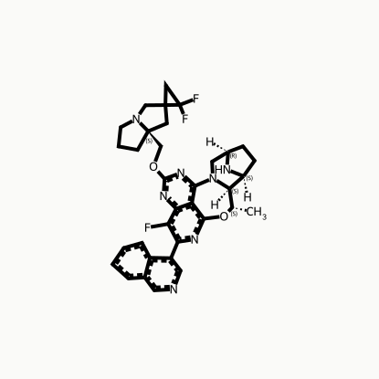 C[C@@H]1Oc2nc(-c3cncc4ccccc34)c(F)c3nc(OC[C@@]45CCCN4CC4(CC4(F)F)C5)nc(c23)N2C[C@H]3CC[C@H](N3)[C@@H]12